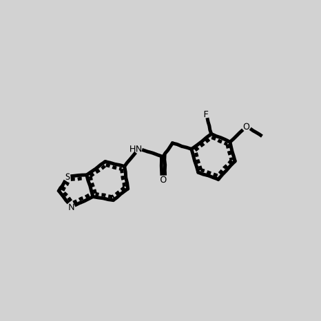 COc1cccc(CC(=O)Nc2ccc3ncsc3c2)c1F